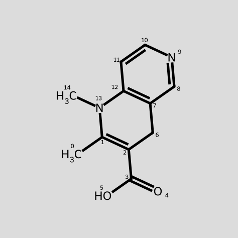 CC1=C(C(=O)O)Cc2cnccc2N1C